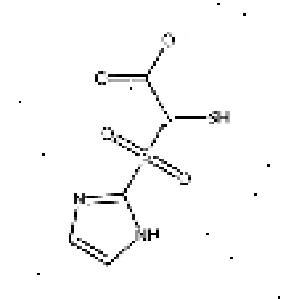 O=C(O)N(S)S(=O)(=O)c1ncc[nH]1